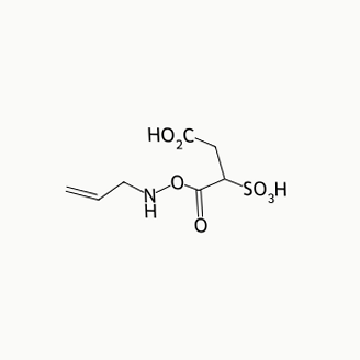 C=CCNOC(=O)C(CC(=O)O)S(=O)(=O)O